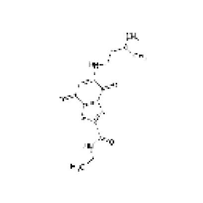 CCNC(=O)c1nc2c(s1)C(=O)C=C(NCCN(C)C)C2=O